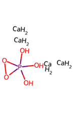 OP1(O)(O)OO1.[CaH2].[CaH2].[CaH2].[CaH2]